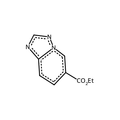 CCOC(=O)c1ccc2ncnn2c1